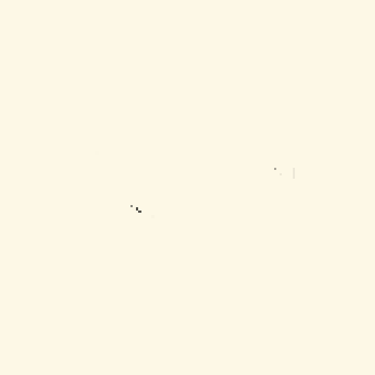 Nc1ccc(O[C@H]2CCOC2)c(F)c1